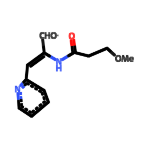 COCCC(=O)NC([C]=O)=Cc1ccccn1